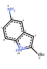 CC(C)(C)c1cc2cc(N)ccc2[nH]1